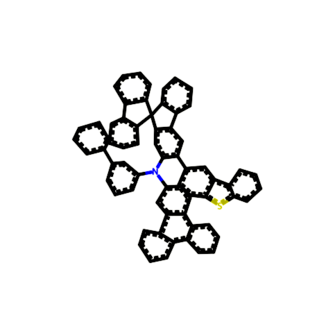 c1ccc(-c2cccc(N(c3ccc4c5ccccc5c5ccccc5c4c3)c3cc4c(cc3-c3ccc5sc6ccccc6c5c3)-c3ccccc3C43c4ccccc4-c4ccccc43)c2)cc1